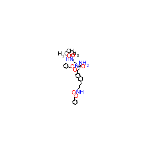 CC(C)(C)OC(=O)NCCCN(C(=O)OCc1ccccc1)[C@@H](CCc1ccc2cc(CCCCNC(=O)OCc3ccccc3)ccc2c1)C(N)=O